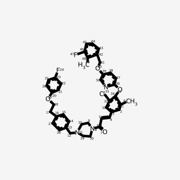 Cc1cc(/C=C/C(=O)N2CCN(Cc3ccc(CCOc4ccc(F)cc4)cc3)CC2)cc(Cl)c1Oc1ccc(OCc2cccc(F)c2C)cn1